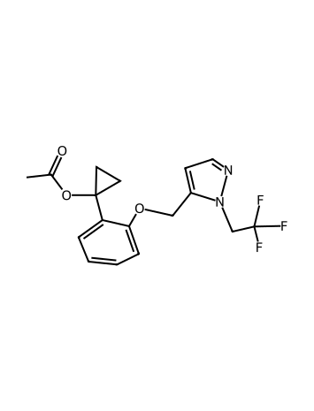 CC(=O)OC1(c2ccccc2OCc2ccnn2CC(F)(F)F)CC1